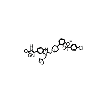 C[C@@]1(c2ccc(Cl)cc2F)Oc2cccc(C3CCN(Cc4nc5ccc(-c6noc(=O)[nH]6)cc5n4C[C@@H]4CCO4)CC3)c2O1